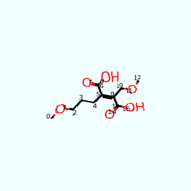 COCCCC(C(=O)O)=C(COC)C(=O)O